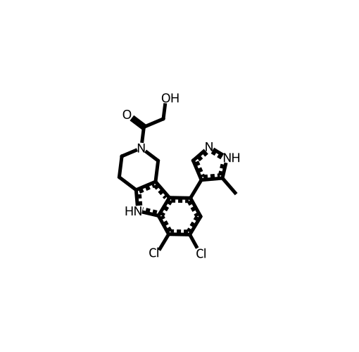 Cc1[nH]ncc1-c1cc(Cl)c(Cl)c2[nH]c3c(c12)CN(C(=O)CO)CC3